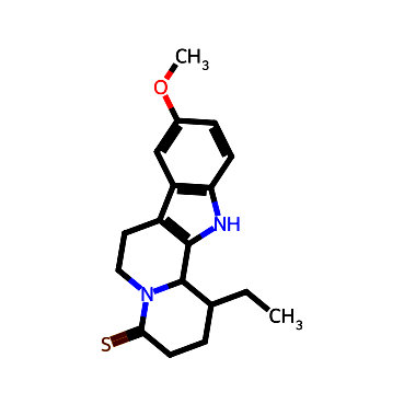 CCC1CCC(=S)N2CCc3c([nH]c4ccc(OC)cc34)C12